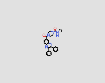 CCNC(=O)N1CCN(C(=O)c2ccc3nc(-c4ccccc4)c(-c4ccccc4)nc3c2)CC1